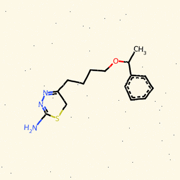 CC(OCCCCC1=NN=C(N)SC1)c1ccccc1